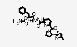 Cc1csc([C@H]2CCCN2C(=O)c2cccc(C(=O)NNC(=O)[C@@](C)(Cc3ccccc3)OC(N)=O)n2)n1